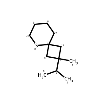 CC(C)C1(C)CC2(CCCCS2)C1